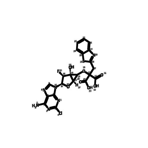 Nc1nc(Cl)nc2c1ncn2[C@@H]1O[C@@H]2C(OC(Cc3nc4ccccc4s3)(C(=O)O)C(=O)O)[C@]2(O)[C@@H]1F